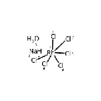 O.[Cl][Rh]([Cl])([Cl])([Cl])([Cl])[Cl].[NaH]